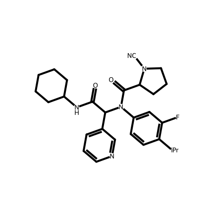 CC(C)c1ccc(N(C(=O)C2CCCN2C#N)C(C(=O)NC2CCCCC2)c2cccnc2)cc1F